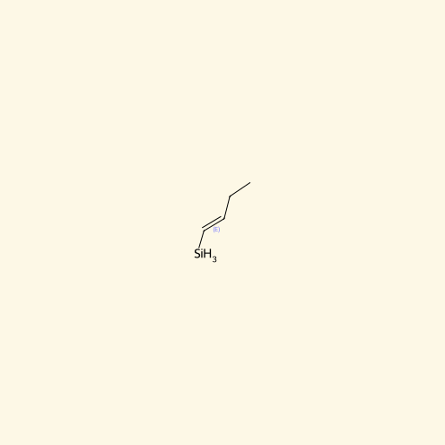 CC/C=C/[SiH3]